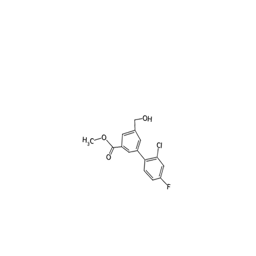 COC(=O)c1cc(CO)cc(-c2ccc(F)cc2Cl)c1